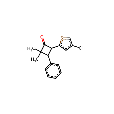 Cc1csc(C2C(=O)C(C)(C)C2c2ccccc2)c1